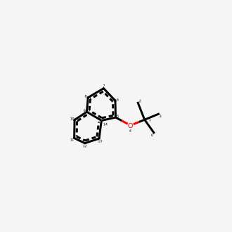 CC(C)(C)Oc1cc[c]c2ccccc12